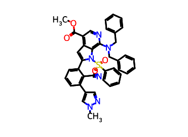 COC(=O)c1cnc(N(Cc2ccccc2)Cc2ccccc2)c2c1cc(-c1cccc(-c3cnn(C)c3)c1C#N)n2S(=O)(=O)c1ccccc1